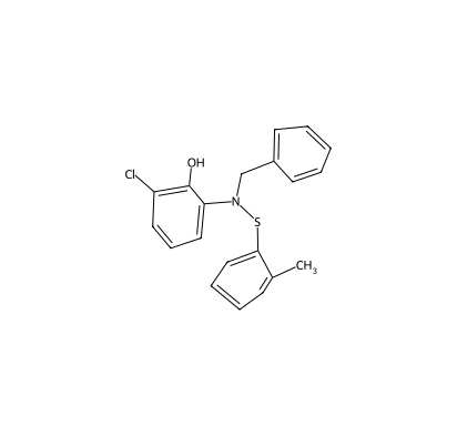 Cc1ccccc1SN(Cc1ccccc1)c1cccc(Cl)c1O